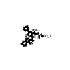 O=C(O)CCNC(=O)c1nc(-c2cccnc2)c2c(cc(-c3ccccc3)c(=O)n2C=Cc2ccccc2)c1O